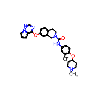 CN1CCC(Oc2ccc(NC(=O)N3CCc4ccc(Oc5ncnn6cccc56)cc4C3)cc2C(F)(F)F)CC1